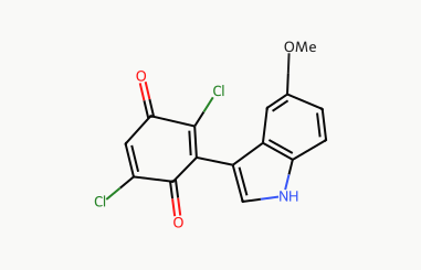 COc1ccc2[nH]cc(C3=C(Cl)C(=O)C=C(Cl)C3=O)c2c1